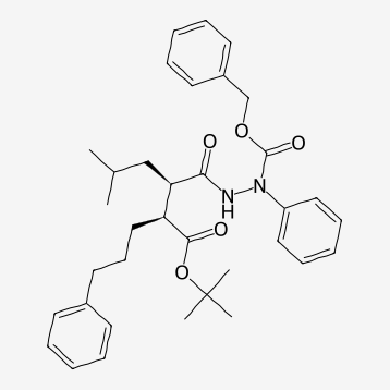 CC(C)C[C@@H](C(=O)NN(C(=O)OCc1ccccc1)c1ccccc1)[C@H](CCCc1ccccc1)C(=O)OC(C)(C)C